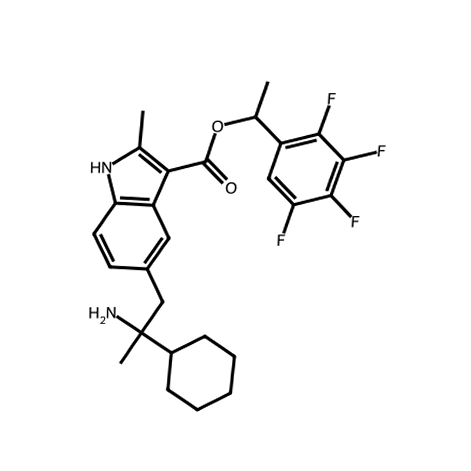 Cc1[nH]c2ccc(CC(C)(N)C3CCCCC3)cc2c1C(=O)OC(C)c1cc(F)c(F)c(F)c1F